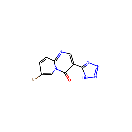 O=c1c(-c2nnn[nH]2)cnc2ccc(Br)cn12